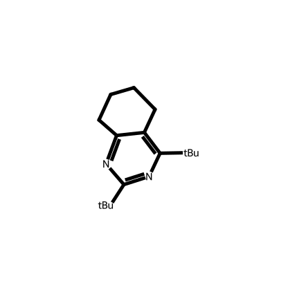 CC(C)(C)c1nc2c(c(C(C)(C)C)n1)CCCC2